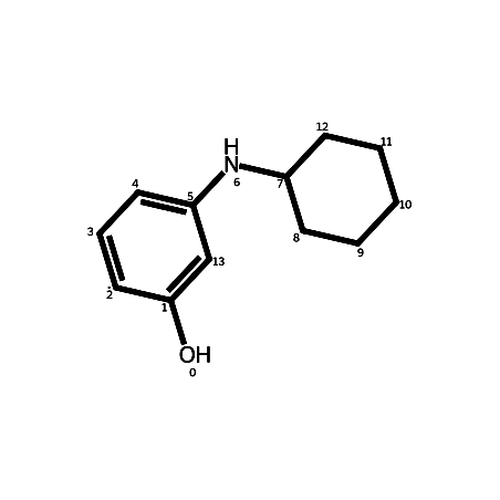 Oc1[c]ccc(NC2CCCCC2)c1